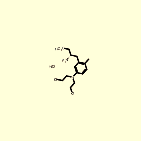 Cc1ccc(N(CCCl)CCCl)cc1C[C@H](N)CC(=O)O.Cl